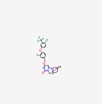 O=c1nc(OCc2ccc(Oc3ccc(Cl)c(C(F)(F)F)c3)c(F)c2)cc2n1C[C@@]13CC[C@@H](CN21)OC3